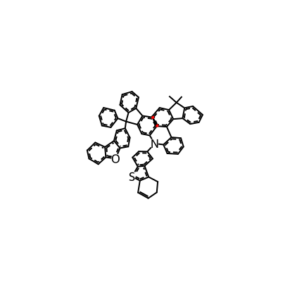 CC1(C)c2ccccc2-c2c(-c3ccccc3N(c3ccc4c(c3)C(c3ccccc3)(c3ccc5oc6ccccc6c5c3)c3ccccc3-4)c3ccc4sc5c(c4c3)CCC=C5)cccc21